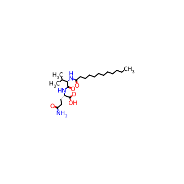 CCCCCCCCCCCC(=O)N[C@H](C(=O)N[C@@H](CCC(N)=O)C(=O)O)C(C)C